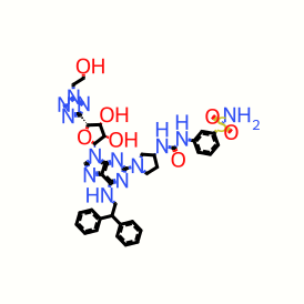 NS(=O)(=O)c1cccc(NC(=O)N[C@@H]2CCN(c3nc(NCC(c4ccccc4)c4ccccc4)c4ncn([C@@H]5O[C@H](c6nnn(CCO)n6)[C@@H](O)[C@H]5O)c4n3)C2)c1